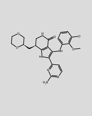 COc1c(Cl)cccc1Nc1c(-c2ccnc(N)n2)[nH]c2c1C(=O)NC[C@@H]2C[C@@H]1COCCO1